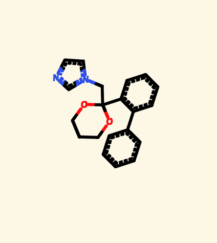 c1ccc(-c2ccccc2C2(Cn3ccnc3)OCCCO2)cc1